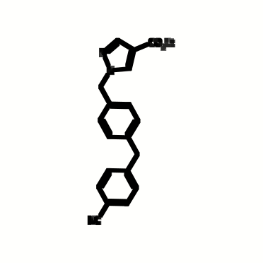 CCOC(=O)c1cnn(Cc2ccc(Cc3ccc(C#N)cc3)cc2)c1